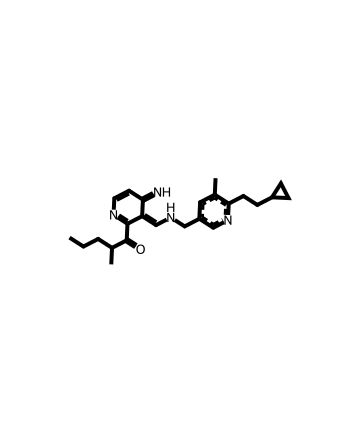 CCCC(C)C(=O)C1=NC=CC(=N)/C1=C\NCc1cnc(CCC2CC2)c(C)c1